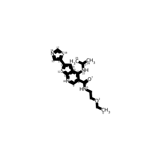 CCOCCNC(=O)c1cnc2sc(-c3cncs3)cc2c1NC(C)C